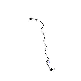 [CH2]CCCCCCCCCCCC/C=C/CCC